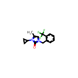 Cc1cn(Cc2ccccc2C(F)(F)F)c(=O)n1C1CC1